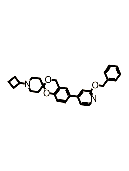 c1ccc(COc2cc(-c3ccc4c(c3)COC3(CCN(C5CCC5)CC3)O4)ccn2)cc1